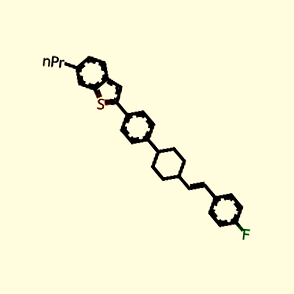 CCCc1ccc2cc(-c3ccc(C4CCC(/C=C/c5ccc(F)cc5)CC4)cc3)sc2c1